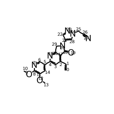 C=Cc1cc(-c2cnc(OC)c(OC)c2)nc2c1C(=O)N(c1cnn(CC#N)c1)C2